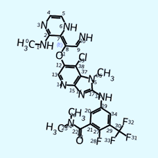 CNC1=NC=CN/C1=C(\C=N)Oc1cnc2nc(Nc3cc(C(=O)N(C)C)c(F)c(C(F)(F)F)c3)n(C)c2c1Cl